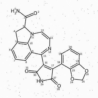 NC(=O)C1Cc2cccc3c2N1C=CN=C3C1=C(c2cccc3c2OCO3)C(=O)NC1=O